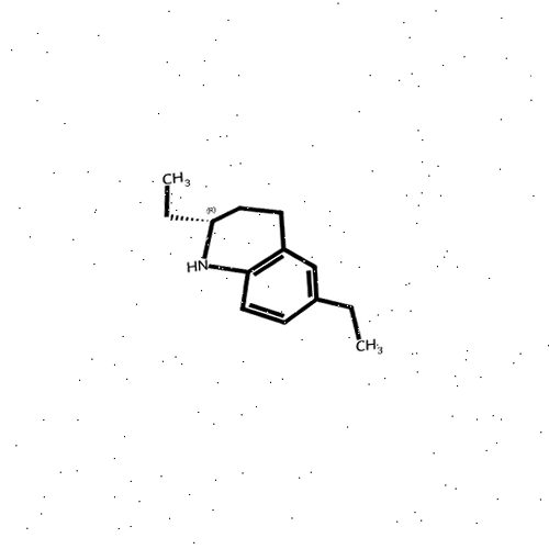 CCc1ccc2c(c1)CC[C@@H](CC)N2